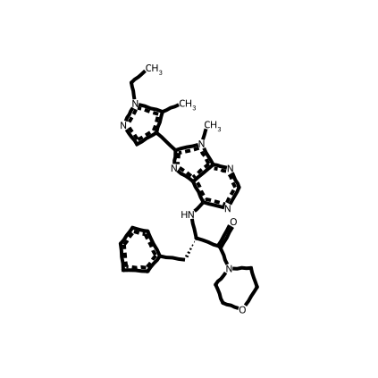 CCn1ncc(-c2nc3c(N[C@@H](Cc4ccccc4)C(=O)N4CCOCC4)ncnc3n2C)c1C